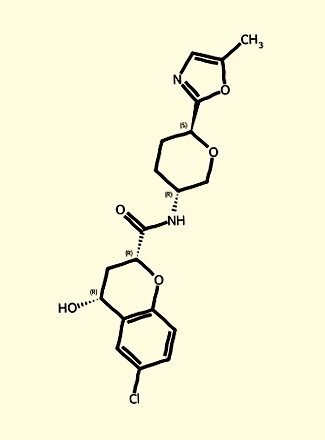 Cc1cnc([C@@H]2CC[C@@H](NC(=O)[C@H]3C[C@@H](O)c4cc(Cl)ccc4O3)CO2)o1